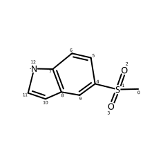 CS(=O)(=O)c1ccc2c(c1)C=C[N]2